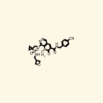 Cn1c(=O)c(C(=O)NCc2ccc(C#N)cc2)cc2cnnc(OCC3(S(=O)(=O)NCC4COC4)CC3)c21